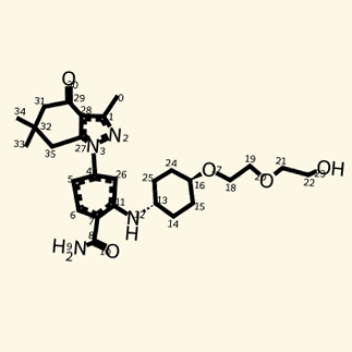 Cc1nn(-c2ccc(C(N)=O)c(N[C@H]3CC[C@H](OCCOCCO)CC3)c2)c2c1C(=O)CC(C)(C)C2